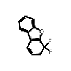 FC1(F)CC=Cc2c1oc1ccccc21